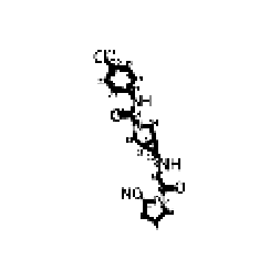 N#C[C@@H]1CCCN1C(=O)CNC1C2CN(C(=O)Nc3ccc(Cl)cc3)CC21